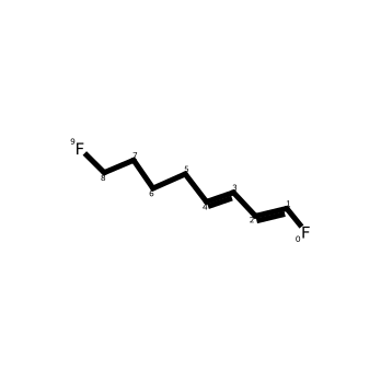 FC=CC=CCCCCF